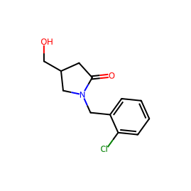 O=C1CC(CO)CN1Cc1ccccc1Cl